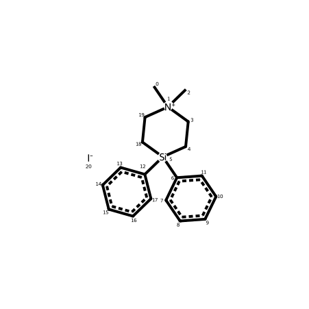 C[N+]1(C)CC[Si](c2ccccc2)(c2ccccc2)CC1.[I-]